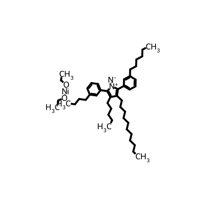 CCCCCCCCCCCC1=C(c2cccc(CCCCCC)c2)[N+](=[N-])C(c2cccc(CCCC)c2)=C1CCCCC.CC[O][Ni][O]CC